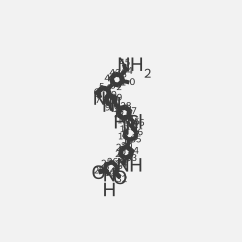 Cc1cc(-c2ccnc3nn(-c4ccc(CN5CCC(c6ccc(NC7CCC(=O)NC7=O)cc6)CC5)cc4)cc23)ccc1CN.Cl